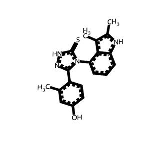 Cc1cc(O)ccc1-c1n[nH]c(=S)n1-c1cccc2[nH]c(C)c(C)c12